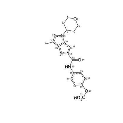 Cc1nn(C2CCOCC2)c2sc(C(=O)Nc3ccc(OC(=O)O)nc3)cc12